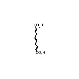 O=C(O)C=CCC=CCC=CC(=O)O